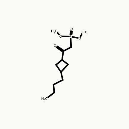 CCCCC1CC(C(=O)CP(=O)(OC)OC)C1